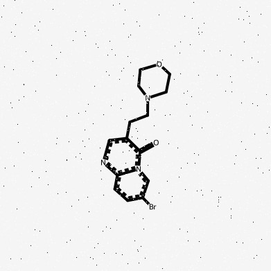 O=c1c(CCN2CCOCC2)cnc2ccc(Br)cn12